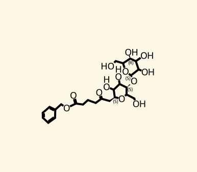 O=C(CCCC(=O)OCc1ccccc1)C[C@@H]1OC(CO)[C@@H](O[C@@H]2OC(CO)[C@H](O)C(O)C2O)C(O)C1O